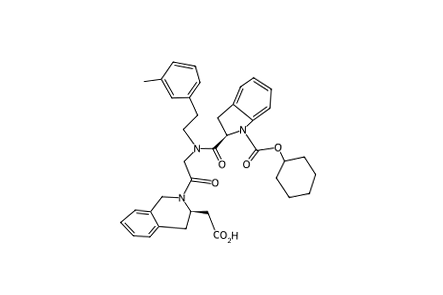 Cc1cccc(CCN(CC(=O)N2Cc3ccccc3C[C@@H]2CC(=O)O)C(=O)[C@H]2Cc3ccccc3N2C(=O)OC2CCCCC2)c1